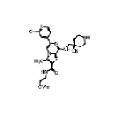 COCCNC(=O)c1nc2c(NCC3(C#N)CCNCC3)nc(-c3ccnc(Cl)c3)cn2c1C